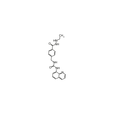 CCNNC(=O)c1ccc(CNC(=O)Nc2cccc3cccnc23)cc1